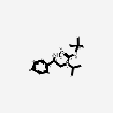 CC(C)N(CC(N)c1ccccc1)C(=O)OC(C)(C)C